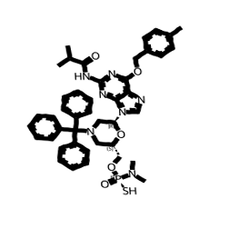 Cc1ccc(COc2nc(NC(=O)C(C)C)nc3c2ncn3[C@H]2CN(C(c3ccccc3)(c3ccccc3)c3ccccc3)C[C@@H](CO[P@@](=O)(S)N(C)C)O2)cc1